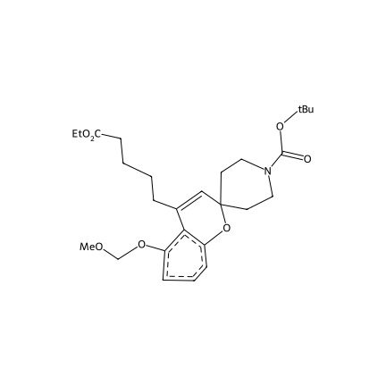 CCOC(=O)CCCCC1=CC2(CCN(C(=O)OC(C)(C)C)CC2)Oc2cccc(OCOC)c21